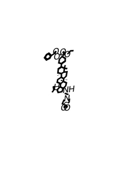 C=C(C)[C@@H]1CC[C@]2(NCCN3CCS(=O)(=O)CC3)CC[C@]3(C)[C@H](CCC4[C@@]5(C)CC=C(C6=CC[C@](COC(=O)c7ccccc7)(C(=O)OCC)CC6)C(C)(C)C5CC[C@]43C)C12